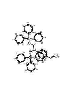 C=Cc1ccc(C(CO[Si](c2ccccc2)(c2ccccc2)c2ccccc2)O[Si](c2ccccc2)(c2ccccc2)c2ccccc2)cc1